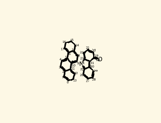 C1=Cc2ccc3c4c(ccc3c2=CC1)CCCC=4.O=C1C=CC=C2N=c3ccccc3=C12